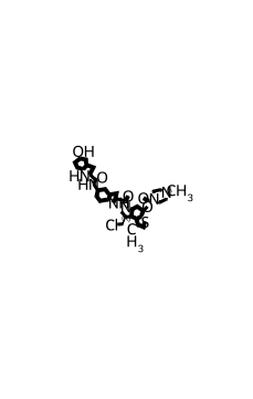 Cc1csc2c(OC(=O)N3CCN(C)CC3)cc3c(c12)[C@@H](CCl)CN3C(=O)c1cc2cc(NC(=O)c3cc4cc(O)ccc4[nH]3)ccc2[nH]1